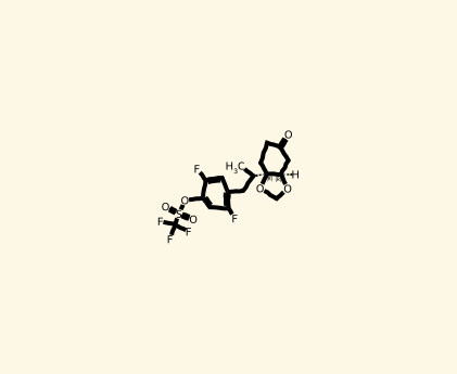 CC(Cc1cc(F)c(OS(=O)(=O)C(F)(F)F)cc1F)[C@]12CCC(=O)C[C@H]1OCO2